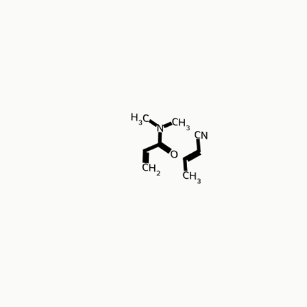 C=CC(=O)N(C)C.CC=CC#N